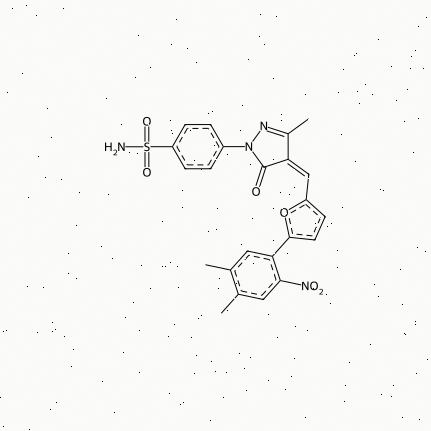 CC1=NN(c2ccc(S(N)(=O)=O)cc2)C(=O)/C1=C\c1ccc(-c2cc(C)c(C)cc2[N+](=O)[O-])o1